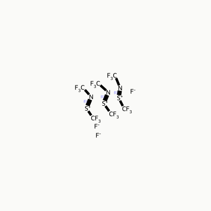 FC(F)(F)/N=[S+]/C(F)(F)F.FC(F)(F)/N=[S+]/C(F)(F)F.FC(F)(F)/N=[S+]/C(F)(F)F.[F-].[F-].[F-]